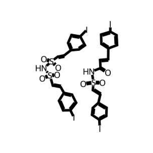 O=C(C=Cc1ccc(I)cc1)NS(=O)(=O)C=Cc1ccc(I)cc1.O=S(=O)(C=Cc1ccc(I)cc1)NS(=O)(=O)C=Cc1ccc(I)cc1